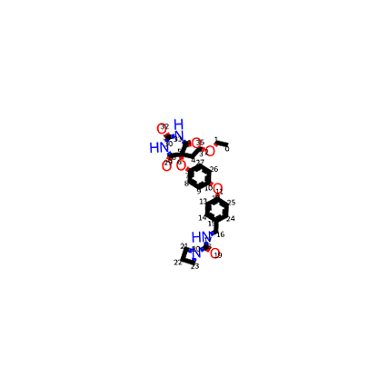 CCOCCC1(Oc2ccc(Oc3ccc(CNC(=O)N4CCC4)cc3)cc2)C(=O)NC(=O)NC1=O